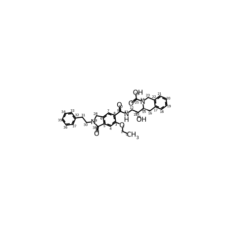 CCOc1cc2c(cc1C(=O)NC[C@@H](O)[C@@H]1Cc3ccccc3CN1C(=O)O)CN(CCc1ccccc1)C2=O